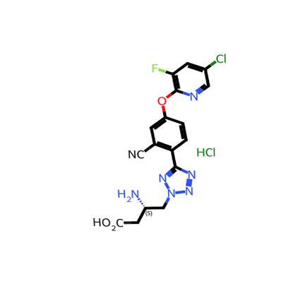 Cl.N#Cc1cc(Oc2ncc(Cl)cc2F)ccc1-c1nnn(C[C@@H](N)CC(=O)O)n1